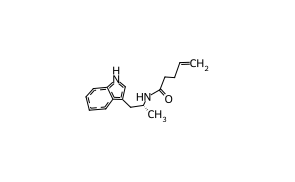 C=CCCC(=O)N[C@H](C)Cc1c[nH]c2ccccc12